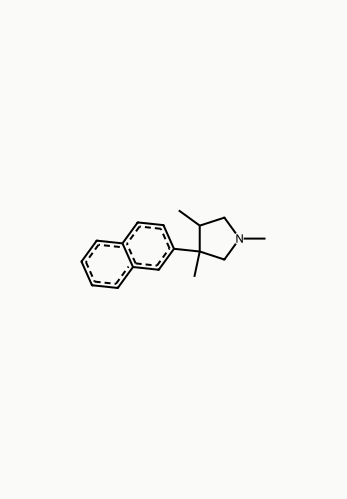 CC1CN(C)CC1(C)c1ccc2ccccc2c1